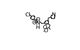 COC(=O)C(C)Cc1cc(CCNS(=O)(=O)c2ccc(Cl)cc2)cc(Cc2cccnc2)c1